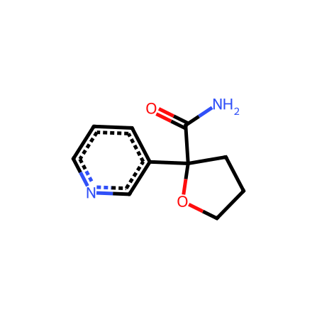 NC(=O)C1(c2cccnc2)CCCO1